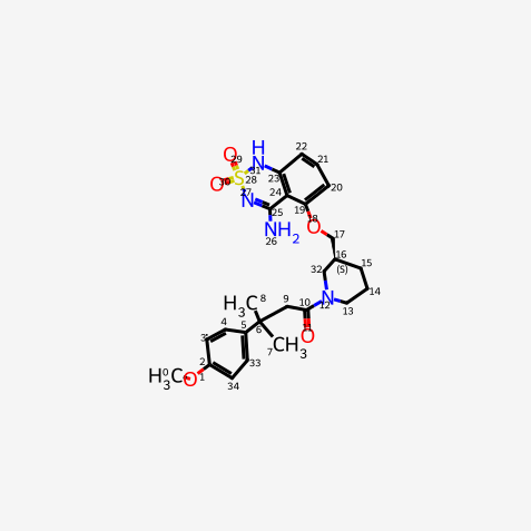 COc1[c]cc(C(C)(C)CC(=O)N2CCC[C@H](COc3cccc4c3C(N)=NS(=O)(=O)N4)C2)cc1